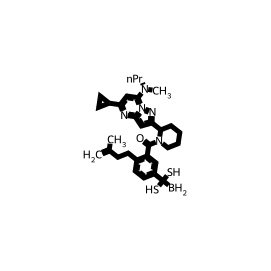 BC(S)(S)c1ccc(CCC(=C)C)c(C(=O)N2CCCCC2c2cc3nc(C4CC4)cc(N(C)CCC)n3n2)c1